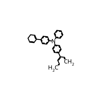 C=C/C=C(\C=C)c1ccc(N(c2ccccc2)c2ccc(C3=CCCC=C3)cc2)cc1